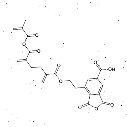 C=C(C)C(=O)OC(=O)C(=C)CCC(=C)C(=O)OCCc1cc(C(=O)O)cc2c1C(=O)OC2=O